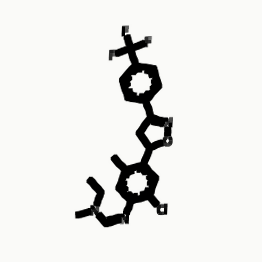 CCN(C)/C=N\c1cc(C)c(C2CC(c3ccc(C(F)(F)F)cc3)=NO2)cc1Cl